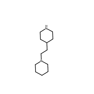 [CH](CC1CCNCC1)N1CCCCC1